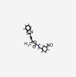 C[C@H](C#Cc1nc2ccccc2s1)OC(=O)/C=C/C1=CCCC(N=O)C1